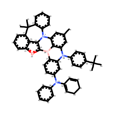 Cc1cc2c3c(c1)N1c4ccccc4C(C)(C)c4cccc5oc(c1c45)B3c1ccc(N(C3=CCCC=C3)c3ccccc3)cc1N2c1ccc(C(C)(C)C)cc1